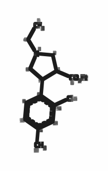 CCOC(=O)C1CN(CC(F)(F)F)CC1c1ccc(C)cc1Cl